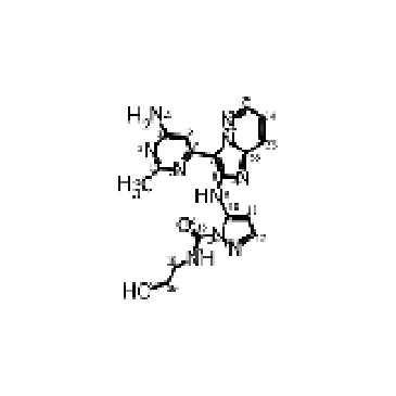 Cc1nc(N)cc(-c2c(Nc3ccnn3C(=O)NCCO)nc3cccnn23)n1